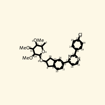 COC1C(C)OC(OC2Cc3ccc(-c4ccnc(-c5ccc(Cl)cc5)n4)cc3C2)C(OC)C1OC